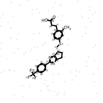 Cc1cc(SC[C@@H]2CCc3sc(-c4ccc(C(F)(F)F)cc4)nc32)ccc1CCC(=O)O